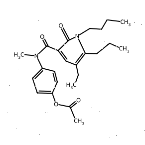 CCCCn1c(CCC)c(CC)cc(C(=O)N(C)c2ccc(OC(C)=O)cc2)c1=O